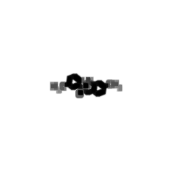 Cc1cc[c]c(S(=O)(=O)Cc2ccc(C)cc2N)c1